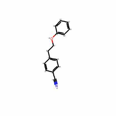 N#Cc1ccc(CCOc2ccccc2)cc1